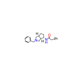 CC(C)CC(=O)N[C@H]1CC[C@@H]2CN(Cc3ccccc3)C[C@@H]21